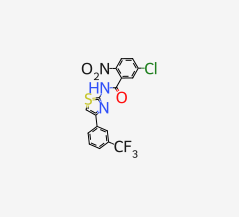 O=C(Nc1nc(-c2cccc(C(F)(F)F)c2)cs1)c1cc(Cl)ccc1[N+](=O)[O-]